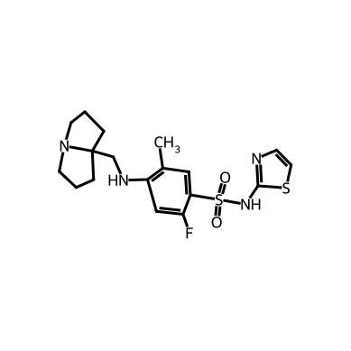 Cc1cc(S(=O)(=O)Nc2nccs2)c(F)cc1NCC12CCCN1CCC2